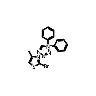 C1=NN=N[N+]1(c1ccccc1)c1ccccc1.Cc1csc(Br)n1